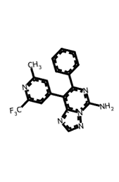 Cc1cc(-c2c(-c3ccccc3)nc(N)n3ncnc23)cc(C(F)(F)F)n1